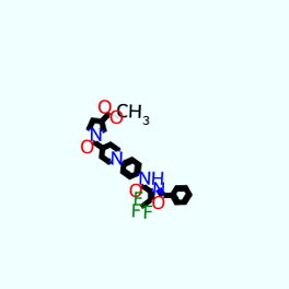 COC(=O)C1CCN(C(=O)C2CCN(c3ccc(NC(=O)c4nc(-c5ccccc5)oc4C(F)(F)F)cc3)CC2)C1